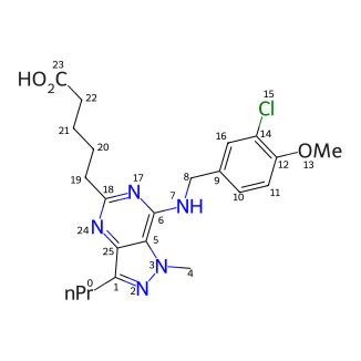 CCCc1nn(C)c2c(NCc3ccc(OC)c(Cl)c3)nc(CCCCC(=O)O)nc12